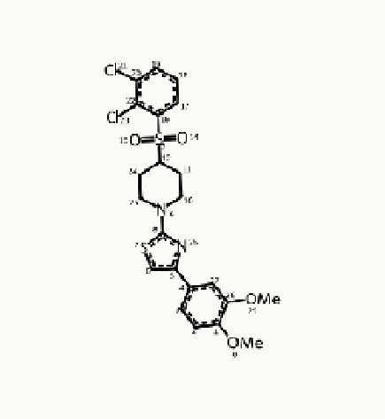 COc1ccc(-c2csc(N3CCC(S(=O)(=O)c4cccc(Cl)c4Cl)CC3)n2)cc1OC